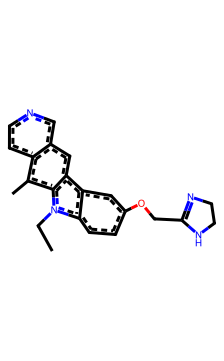 CCn1c2ccc(OCC3=NCCN3)cc2c2cc3cnccc3c(C)c21